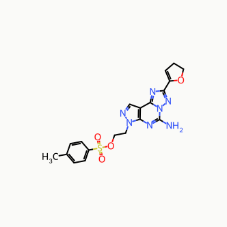 Cc1ccc(S(=O)(=O)OCCn2ncc3c2nc(N)n2nc(C4=CCCO4)nc32)cc1